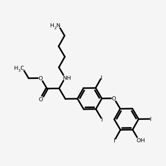 CCOC(=O)C(Cc1cc(I)c(Oc2cc(I)c(O)c(I)c2)c(I)c1)NCCCCN